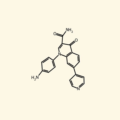 NC(=O)c1cn(-c2ccc(N)cc2)c2cc(-c3ccncc3)ccc2c1=O